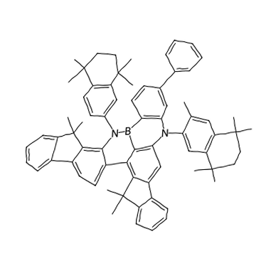 Cc1cc2c(cc1N1c3cc(-c4ccccc4)ccc3B3c4c1cc1c(c4-c4ccc5c(c4N3c3ccc4c(c3)C(C)(C)CCC4(C)C)C(C)(C)c3ccccc3-5)C(C)(C)c3ccccc3-1)C(C)(C)CCC2(C)C